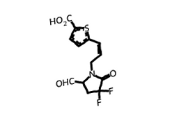 O=CC1CC(F)(F)C(=O)N1C/C=C\c1ccc(C(=O)O)s1